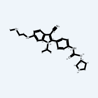 COCCOc1ccc2c(C#N)c(-c3ccc(NC(=O)O[C@@H]4CCOC4)cc3)n(C(C)C)c2c1